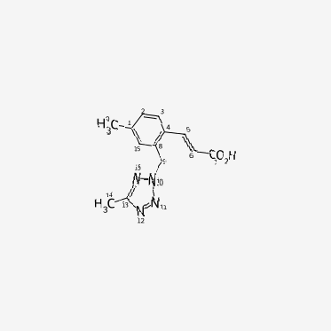 Cc1ccc(C=CC(=O)O)c(Cn2nnc(C)n2)c1